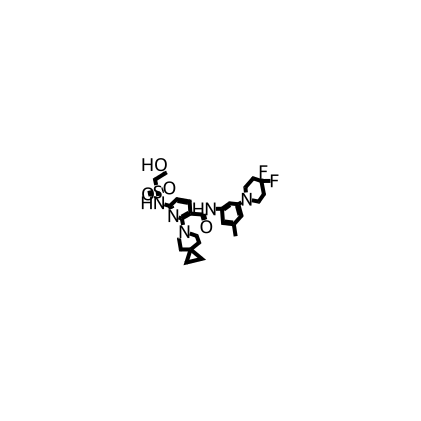 Cc1cc(NC(=O)c2ccc(NS(=O)(=O)CCO)nc2N2CCC3(CC2)CC3)cc(N2CCC(F)(F)CC2)c1